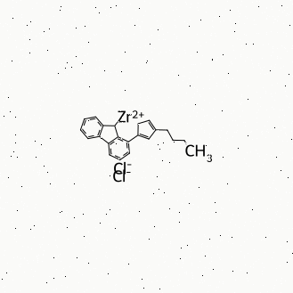 CCCCC1=CCC(c2cccc3c2[CH]([Zr+2])c2ccccc2-3)=C1.[Cl-].[Cl-]